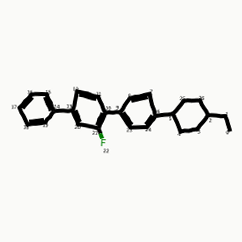 CCC1CCC(c2ccc(-c3ccc(-c4ccccc4)cc3F)cc2)CC1